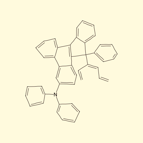 C=C/C=C(\C=C)C1(c2ccccc2)c2ccccc2-c2c1c1ccc(N(c3ccccc3)c3ccccc3)cc1c1ccccc21